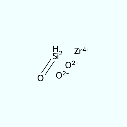 O=[SiH2].[O-2].[O-2].[Zr+4]